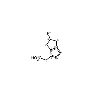 O=C(O)Cc1ncn2c1CC(F)C2